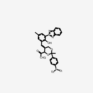 CCN(CC)c1ccc(C2(C)OCC(=Cc3cc(C)cc(-n4nc5ccccc5n4)c3O)C(C(=O)C=O)O2)cc1